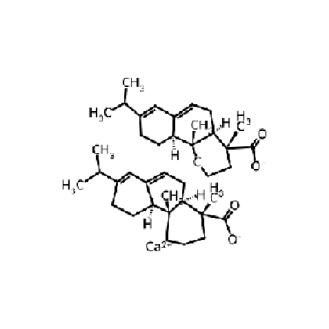 CC(C)C1=CC2=CC[C@@H]3[C@](C)(CCC[C@@]3(C)C(=O)[O-])[C@H]2CC1.CC(C)C1=CC2=CC[C@@H]3[C@](C)(CCC[C@@]3(C)C(=O)[O-])[C@H]2CC1.[Ca+2]